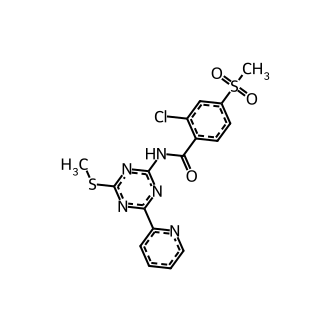 CSc1nc(NC(=O)c2ccc(S(C)(=O)=O)cc2Cl)nc(-c2ccccn2)n1